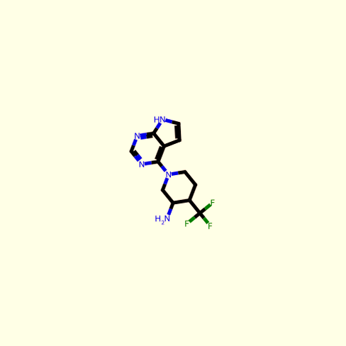 NC1CN(c2ncnc3[nH]ccc23)CCC1C(F)(F)F